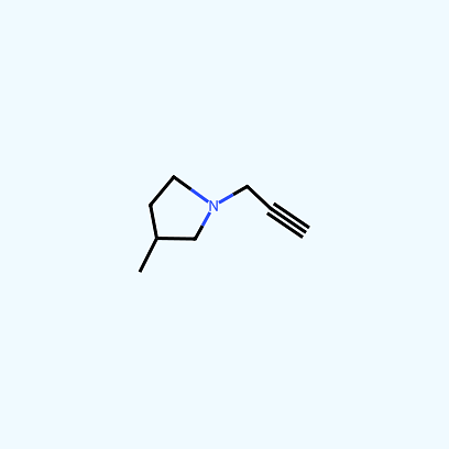 C#CCN1CCC(C)C1